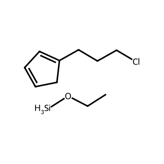 CCO[SiH3].ClCCCC1=CC=CC1